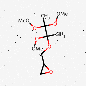 COOC(C)(OOC)C([SiH3])(OCC1CO1)OOC